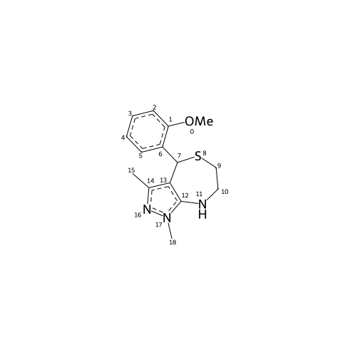 COc1ccccc1C1SCCNc2c1c(C)nn2C